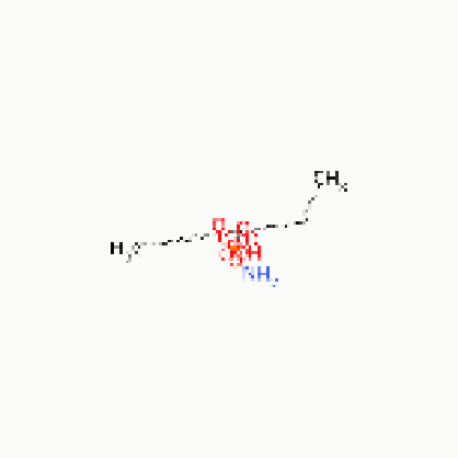 CCCCCCC/C=C\CCCCCCCC(=O)O[C@H](COC(=O)CCCCCCCCCCCCC)COP(=O)(O)OCCN